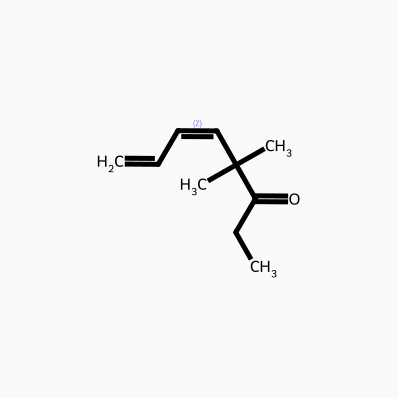 C=C/C=C\C(C)(C)C(=O)CC